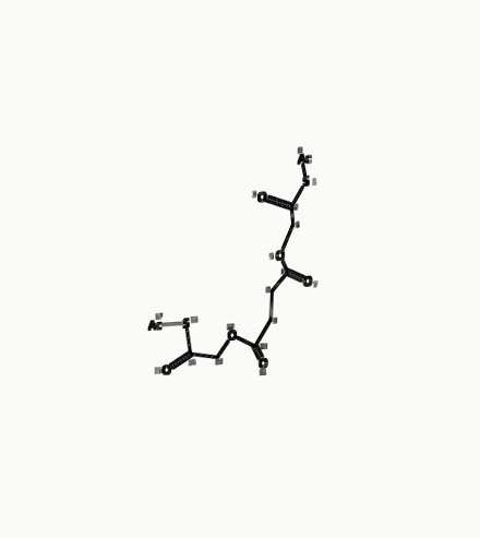 CC(=O)SC(=O)COC(=O)CCC(=O)OCC(=O)SC(C)=O